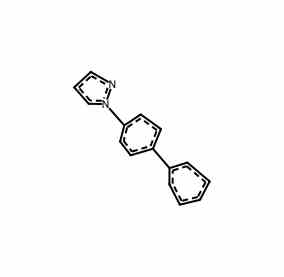 c1ccc(-c2ccc(-n3cccn3)cc2)cc1